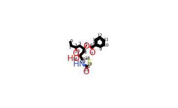 CCC1C[C@@H](OC(=O)c2ccccc2)C[C@](O)([C@@H]2CSC(=O)N2)O1